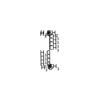 C=P(C)(C)OC/C(C)=C/CC/C(C)=C/C=C/C(C)=C/C=C/C(C)=C/C=C/C=C(C)/C=C/C=C(C)/C=C/C=C(\C)CC/C=C(\C)COP(C)(C)=O